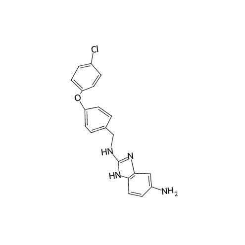 Nc1ccc2[nH]c(NCc3ccc(Oc4ccc(Cl)cc4)cc3)nc2c1